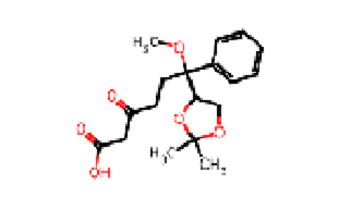 COC(CCC(=O)CC(=O)O)(c1ccccc1)C1COC(C)(C)O1